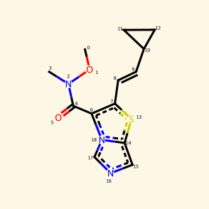 CON(C)C(=O)c1c(/C=C/C2CC2)sc2cncn12